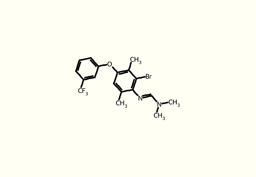 Cc1cc(Oc2cccc(C(F)(F)F)c2)c(C)c(Br)c1/N=C/N(C)C